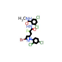 CNC(=O)c1cc(Cl)cc(Cl)c1NC(=O)C(F)=Cc1cc(Br)nn1-c1ccc(Cl)cc1Cl